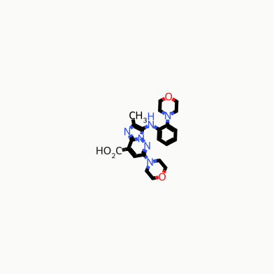 Cc1nc2c(C(=O)O)cc(N3CCOCC3)nn2c1Nc1ccccc1N1CCOCC1